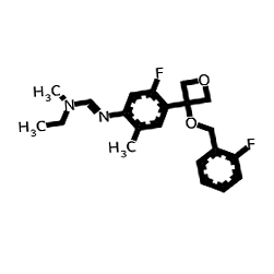 CCN(C)C=Nc1cc(F)c(C2(OCc3ccccc3F)COC2)cc1C